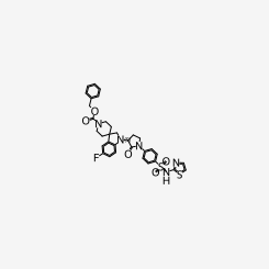 O=C(OCc1ccccc1)N1CCC2(CC1)CN([C@H]1CCN(c3ccc(S(=O)(=O)Nc4nccs4)cc3)C1=O)c1ccc(F)cc12